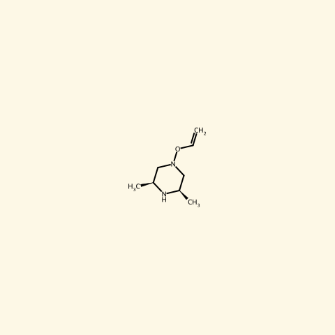 C=CON1C[C@@H](C)N[C@@H](C)C1